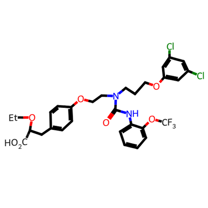 CCOC(Cc1ccc(OCCN(CCCOc2cc(Cl)cc(Cl)c2)C(=O)Nc2ccccc2OC(F)(F)F)cc1)C(=O)O